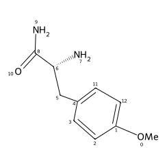 COc1ccc(C[C@@H](N)C(N)=O)cc1